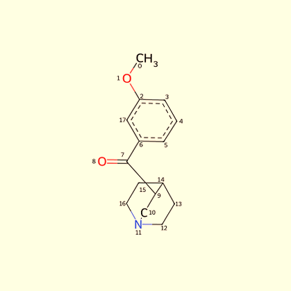 COc1cccc(C(=O)C2CN3CCC2CC3)c1